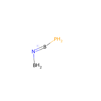 B/N=B/P